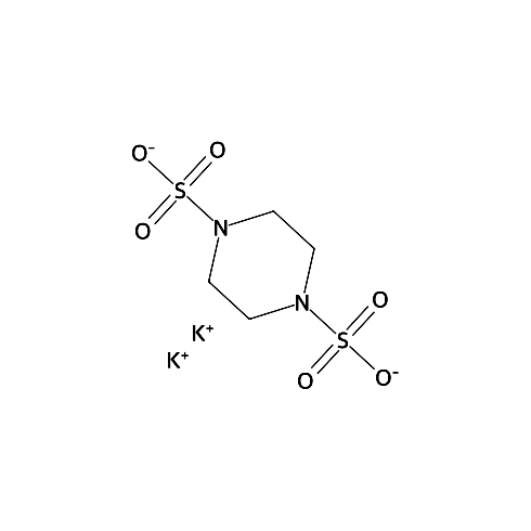 O=S(=O)([O-])N1CCN(S(=O)(=O)[O-])CC1.[K+].[K+]